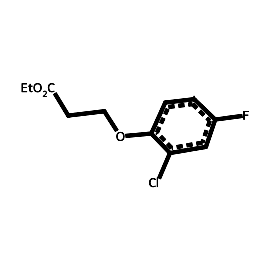 CCOC(=O)CCOc1c[c]c(F)cc1Cl